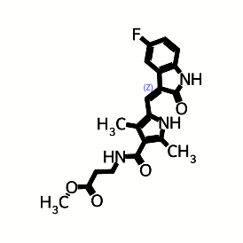 COC(=O)CCNC(=O)c1c(C)[nH]c(/C=C2\C(=O)Nc3ccc(F)cc32)c1C